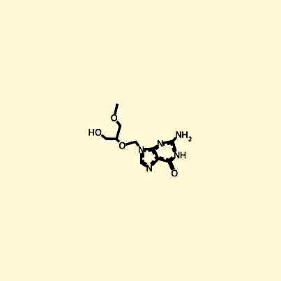 COCC(CO)OCn1cnc2c(=O)[nH]c(N)nc21